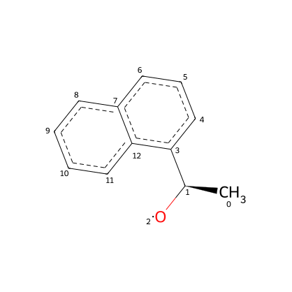 C[C@@H]([O])c1cccc2ccccc12